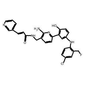 Nc1nc(-c2cc(Nc3ccc(Cl)cc3CF)ccc2O)ccc1CNC(=O)/C=C/c1cccnc1